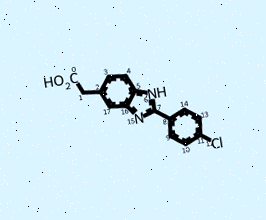 O=C(O)Cc1ccc2[nH]c(-c3ccc(Cl)cc3)nc2c1